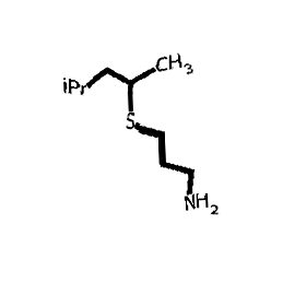 CC(C)CC(C)SCCCN